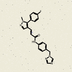 Cn1ncc(/C=C/C(=O)Nc2ccc(Cn3cncn3)cc2)c1-c1ccc(F)cc1